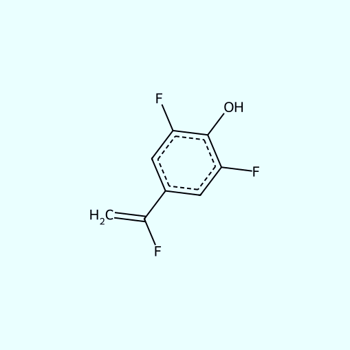 C=C(F)c1cc(F)c(O)c(F)c1